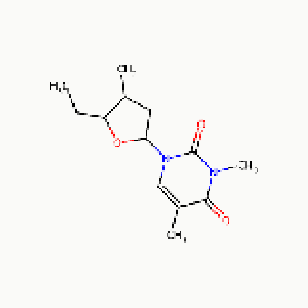 CCC1OC(n2cc(C)c(=O)n(C)c2=O)CC1C